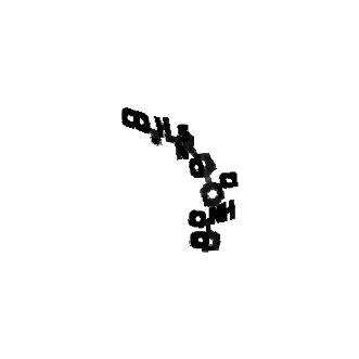 O=C(O)Cc1nc(-c2ccc(-c3ccc(NC(=O)c4ccco4)cc3Cl)o2)cs1